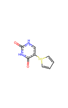 O=c1[nH]cc([SH]2C=CC=C2)c(=O)[nH]1